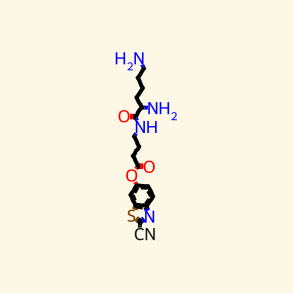 N#Cc1nc2ccc(OC(=O)CCCNC(=O)C(N)CCCCN)cc2s1